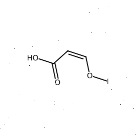 O=C(O)/C=C\OI